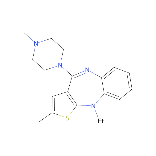 CCN1c2ccccc2N=C(N2CCN(C)CC2)c2cc(C)sc21